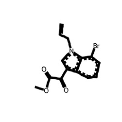 C=CCn1cc(C(=O)C(=O)OC)c2cccc(Br)c21